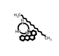 CCCCCCCCCCCCCCC.c1ccc2cc3c(ccc4cccc(N5CCCNCCCNCCN5)c43)cc2c1